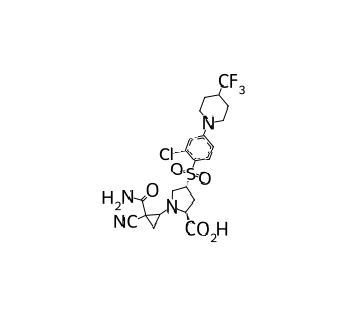 N#CC1(C(N)=O)CC1N1C[C@H](S(=O)(=O)c2ccc(N3CCC(C(F)(F)F)CC3)cc2Cl)C[C@H]1C(=O)O